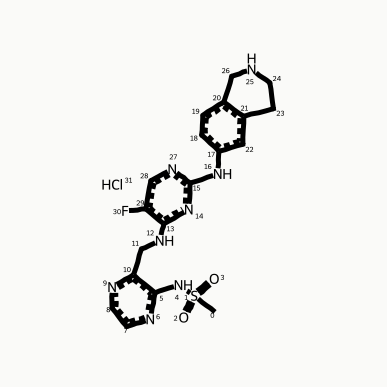 CS(=O)(=O)Nc1nccnc1CNc1nc(Nc2ccc3c(c2)CCNC3)ncc1F.Cl